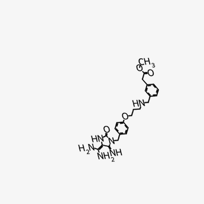 COC(=O)Cc1cccc(CNCCCOc2ccc(CN3C(=N)C(=C(N)N)NC3=O)cc2)c1